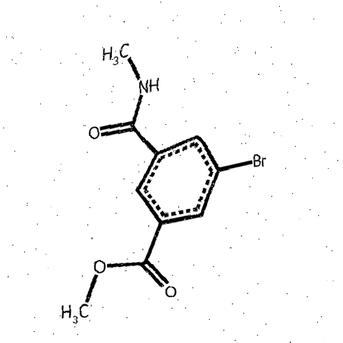 CNC(=O)c1cc(Br)cc(C(=O)OC)c1